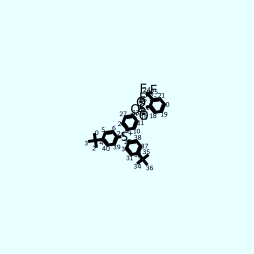 CC(C)(C)c1ccc([S+](c2ccc(OS(=O)(=O)c3ccccc3C(F)(F)F)cc2)c2ccc(C(C)(C)C)cc2)cc1